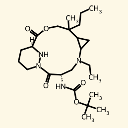 CCCC1(C)COC(=O)[C@@H]2CCCN(N2)C(=O)[C@@H](NC(=O)OC(C)(C)C)CN(CC)C2CC21